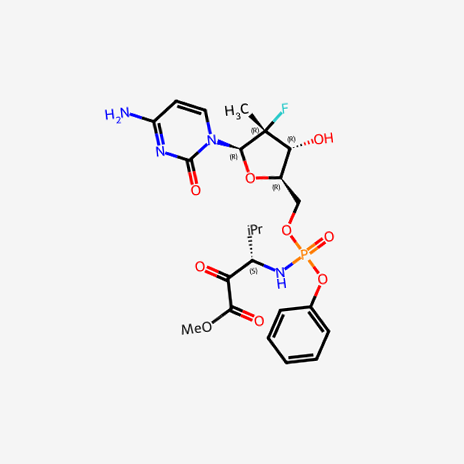 COC(=O)C(=O)[C@@H](NP(=O)(OC[C@H]1O[C@@H](n2ccc(N)nc2=O)[C@](C)(F)[C@@H]1O)Oc1ccccc1)C(C)C